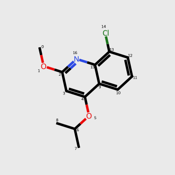 COc1cc(OC(C)C)c2cccc(Cl)c2n1